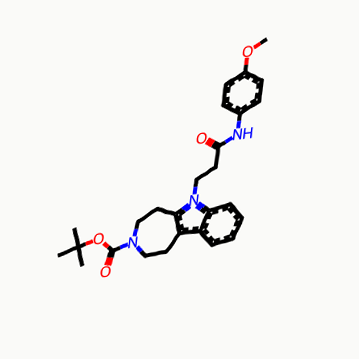 COc1ccc(NC(=O)CCn2c3c(c4ccccc42)CCN(C(=O)OC(C)(C)C)CC3)cc1